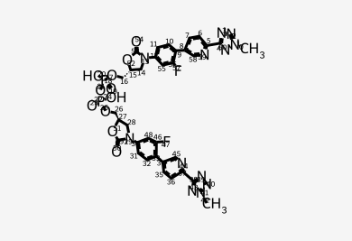 Cn1nnc(-c2ccc(-c3ccc(N4C[C@H](COP(=O)(O)OP(=O)(O)OC[C@H]5CN(c6ccc(-c7ccc(-c8nnn(C)n8)nc7)c(F)c6)C(=O)O5)OC4=O)cc3F)cn2)n1